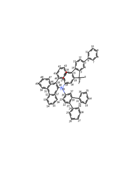 CC1(C)c2cc(-c3ccccc3)ccc2-c2ccc(N(c3ccc(-c4ccccc4)c(-c4ccccc4)c3)c3c(-c4ccccc4)c4ccccc4c4ccccc34)cc21